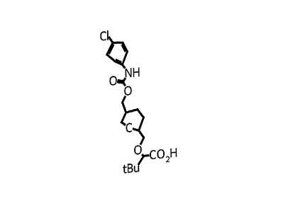 CC(C)(C)C(OCC1CCC(COC(=O)Nc2ccc(Cl)cc2)CC1)C(=O)O